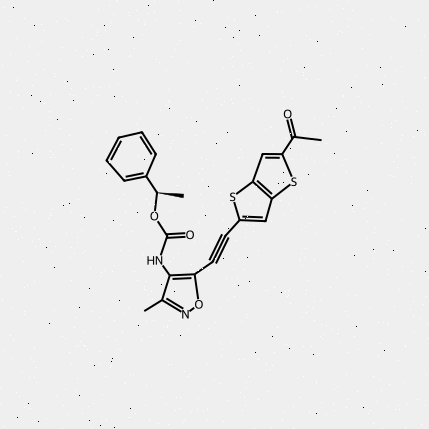 CC(=O)c1cc2sc(C#Cc3onc(C)c3NC(=O)O[C@H](C)c3ccccc3)cc2s1